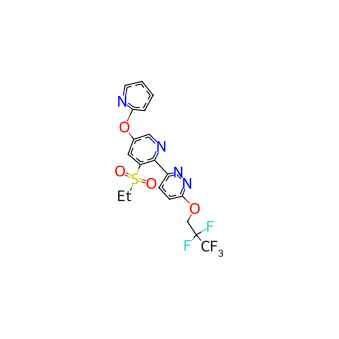 CCS(=O)(=O)c1cc(Oc2ccccn2)cnc1-c1ccc(OCC(F)(F)C(F)(F)F)nn1